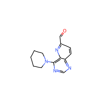 O=Cc1ccc2ncnc(N3CCCCC3)c2n1